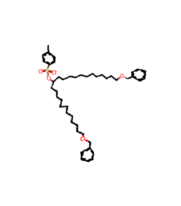 Cc1ccc(S(=O)(=O)OC(CCCCCCCCCCCCOCc2ccccc2)CCCCCCCCCCCCOCc2ccccc2)cc1